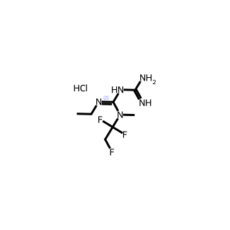 CC/N=C(/NC(=N)N)N(C)C(F)(F)CF.Cl